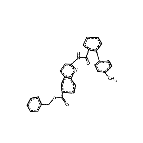 Cc1ccc(-c2ccccc2C(=O)Nc2ccc3cc(C(=O)OCc4ccccc4)ccc3n2)cc1